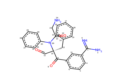 N=C(N)c1cccc(C(=O)[C@]([C]=O)(Cc2ccccc2)N(C(=O)CN)c2ccccc2)c1